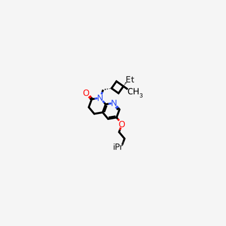 CC[C@]1(C)C[C@H](CN2C(=O)CCc3cc(OCCC(C)C)cnc32)C1